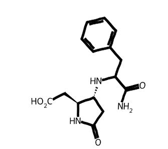 NC(=O)C(Cc1ccccc1)N[C@@H]1CC(=O)N[C@H]1CC(=O)O